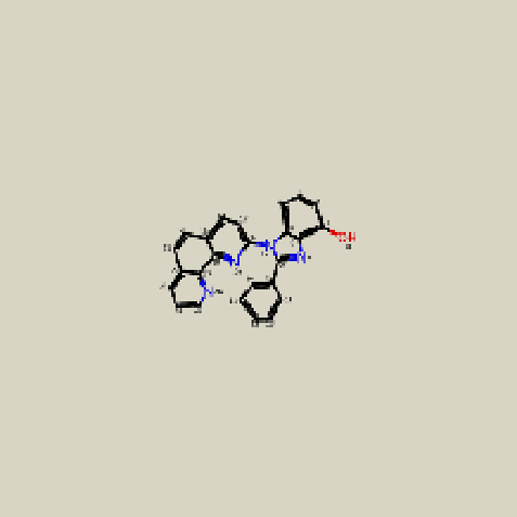 Oc1cccc2c1nc(-c1ccccc1)n2-c1ccc2ccc3cccnc3c2n1